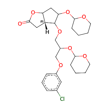 O=C1C[C@@H]2C(CC(OC3CCCCO3)C2OCC(COc2cccc(Cl)c2)OC2CCCCO2)O1